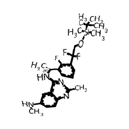 CNc1ccc2nc(C)nc(N[C@H](C)c3cccc(C(F)(F)CO[Si](C)(C)C(C)(C)C)c3F)c2c1